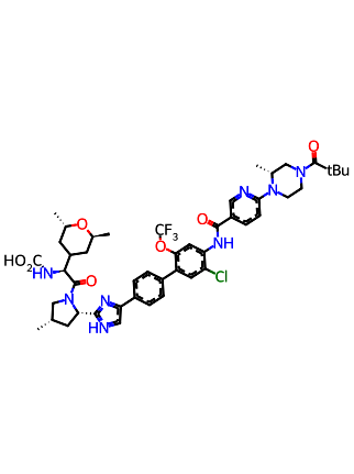 C[C@H]1C[C@@H](c2nc(-c3ccc(-c4cc(Cl)c(NC(=O)c5ccc(N6CCN(C(=O)C(C)(C)C)C[C@H]6C)nc5)cc4OC(F)(F)F)cc3)c[nH]2)N(C(=O)[C@@H](NC(=O)O)C2C[C@H](C)O[C@@H](C)C2)C1